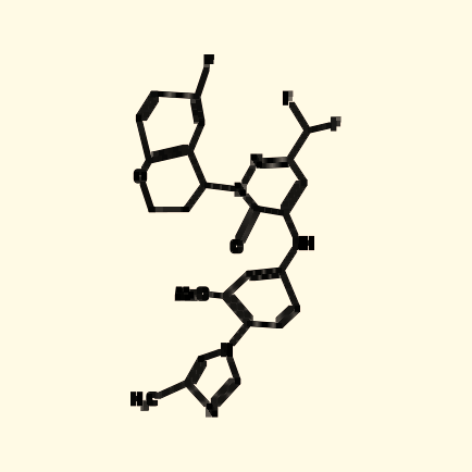 COc1cc(Nc2cc(C(F)F)nn(C3CCOc4ccc(F)cc43)c2=O)ccc1-n1cnc(C)c1